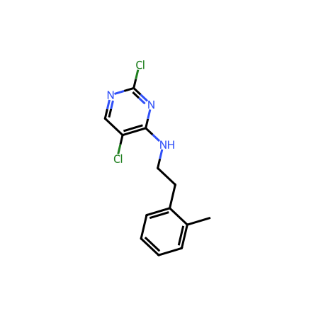 Cc1ccccc1CCNc1nc(Cl)ncc1Cl